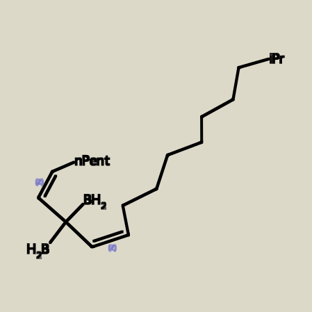 BC(B)(/C=C\CCCCC)/C=C\CCCCCCCC(C)C